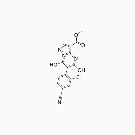 COC(=O)c1cnn2c(O)c(-c3ccc(C#N)cc3Cl)c(O)nc12